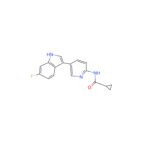 O=C(Nc1ccc(-c2c[nH]c3cc(F)ccc23)cn1)C1CC1